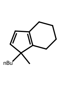 C[CH]CCC1(C)C=CC2=C1CCCC2